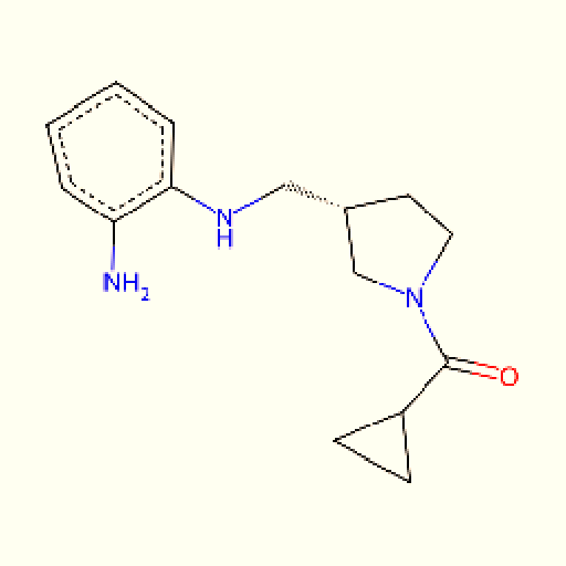 Nc1ccccc1NC[C@@H]1CCN(C(=O)C2CC2)C1